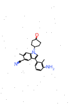 Cc1cc2c(cc1C#N)c(-c1cccc(N)c1C)cn2C1CCC(=O)CC1